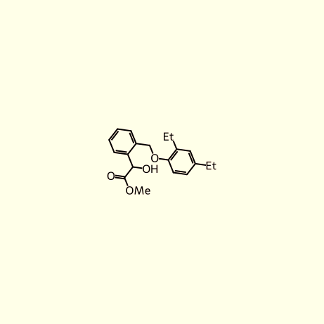 CCc1ccc(OCc2ccccc2C(O)C(=O)OC)c(CC)c1